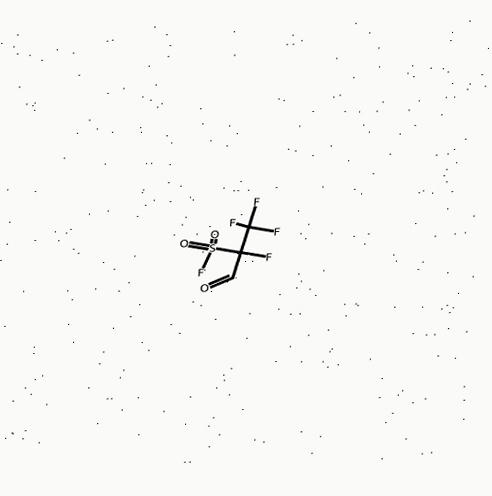 O=[C]C(F)(C(F)(F)F)S(=O)(=O)F